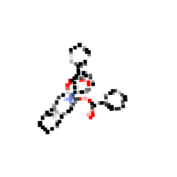 O=C(OC1C(OC(=O)c2ccccc2)C2C3C4CCC(C4)C3C1N2c1ccccc1)c1ccccc1